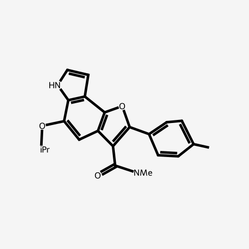 CNC(=O)c1c(-c2ccc(C)cc2)oc2c1cc(OC(C)C)c1[nH]ccc12